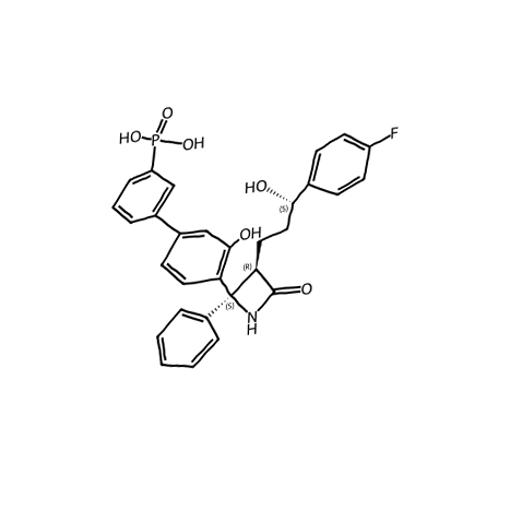 O=C1N[C@@](c2ccccc2)(c2ccc(-c3cccc(P(=O)(O)O)c3)cc2O)[C@H]1CC[C@H](O)c1ccc(F)cc1